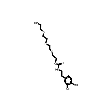 O=C(NCCc1ccc(O)c(O)c1)OCCOCCOCCOCCO